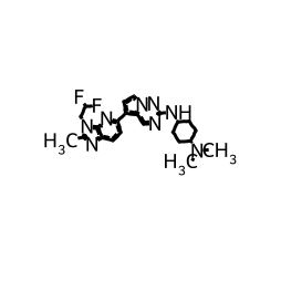 Cc1nc2ccc(-c3ccn4nc(N[C@H]5CC[C@H](N(C)C)CC5)ncc34)nc2n1CC(F)F